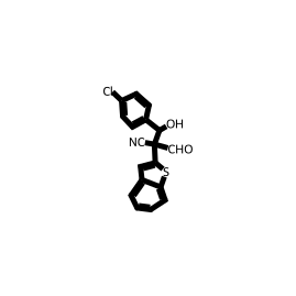 N#CC(C=O)(c1cc2ccccc2s1)C(O)c1ccc(Cl)cc1